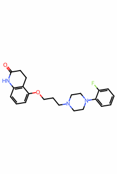 O=C1CCc2c(cccc2OCCCN2CCN(c3ccccc3F)CC2)N1